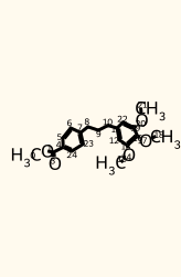 COC(=O)c1ccc(CCCc2cc(OC)c(OC)c(OC)c2)cc1